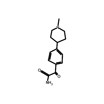 CN1CCC(c2ccc(C(=O)C(N)=O)cc2)CC1